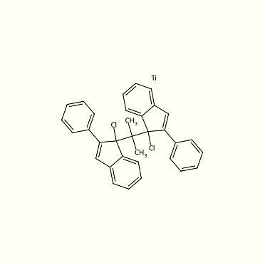 CC(C)(C1(Cl)C(c2ccccc2)=Cc2ccccc21)C1(Cl)C(c2ccccc2)=Cc2ccccc21.[Ti]